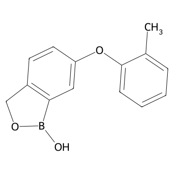 Cc1ccccc1Oc1ccc2c(c1)B(O)OC2